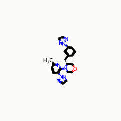 Cc1ccc(-n2nccn2)c(N2CCOC[C@H]2Cc2cccc(-n3nccn3)c2)n1